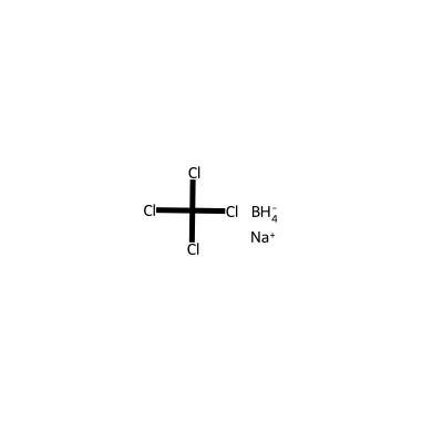 ClC(Cl)(Cl)Cl.[BH4-].[Na+]